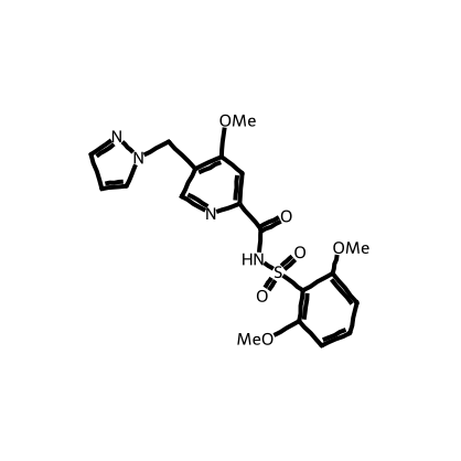 COc1cc(C(=O)NS(=O)(=O)c2c(OC)cccc2OC)ncc1Cn1cccn1